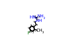 Cc1cc(F)ccc1CCNC(=N)N